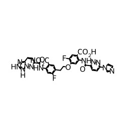 O=C(Nc1cc(F)c(CCOc2cc(NC(=O)c3ccc(-n4ccnc4)nn3)c(C(=O)O)cc2F)cc1C(=O)O)C1=NN2NNN=C2C=C1